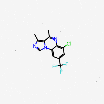 Cc1ncn2c1c(C)nc1c(Cl)cc(C(F)(F)F)cc12